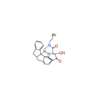 CC(C)CCN1CN(C23c4ccccc4CC2Cc2ccccc23)n2ccc(=O)c(O)c2C1=O